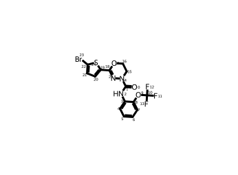 O=C(Nc1ccccc1OC(F)(F)F)N1CCOC(c2ccc(Br)s2)=N1